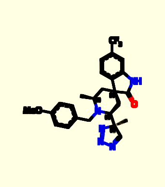 COc1ccc(CN2[C@H]([C@@]3(C)C=NN=N3)C[C@]3(C[C@@H]2C)C(=O)Nc2cc(C(F)(F)F)ccc23)cc1